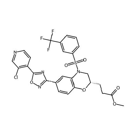 COC(=O)CC[C@H]1CN(S(=O)(=O)c2cccc(C(F)(F)F)c2)c2cc(-c3noc(-c4ccncc4Cl)n3)ccc2O1